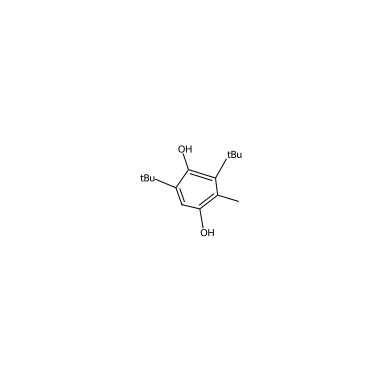 Cc1c(O)cc(C(C)(C)C)c(O)c1C(C)(C)C